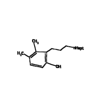 CCCCCCCCCCc1c(O)ccc(C)c1C